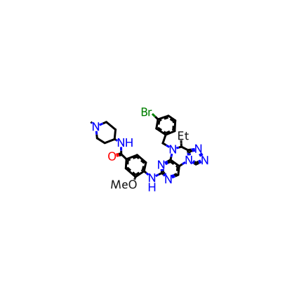 CCC1c2nncn2-c2cnc(Nc3ccc(C(=O)NC4CCN(C)CC4)cc3OC)nc2N1Cc1cccc(Br)c1